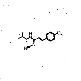 COc1ccc(C=CC(=NC#N)NCC(C)C)cc1